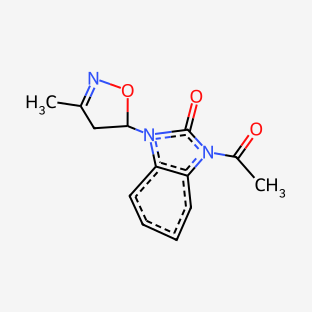 CC(=O)n1c(=O)n(C2CC(C)=NO2)c2ccccc21